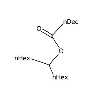 CCCCCCCCCCC(=O)OC(CCCCCC)CCCCCC